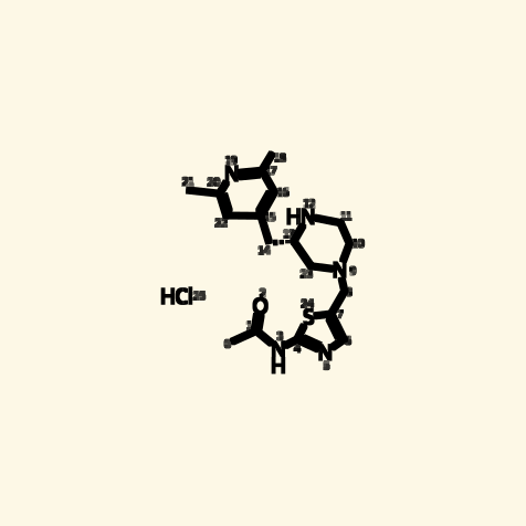 CC(=O)Nc1ncc(CN2CCN[C@@H](Cc3cc(C)nc(C)c3)C2)s1.Cl